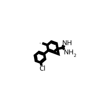 [CH2]C1C=CC2(C(=N)N)CC2=C1c1cccc(Cl)c1